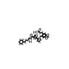 O=C(O)CCc1cc2c(cc1CN1CCCC1c1nc(C(=O)NCCCCC3CCCCC3)co1)OCO2